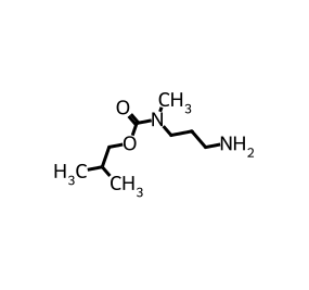 CC(C)COC(=O)N(C)CCCN